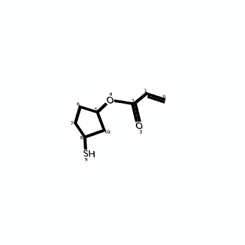 C=CC(=O)OC1CCC(S)C1